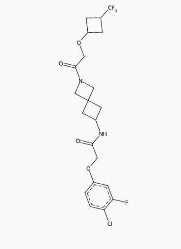 O=C(COc1ccc(Cl)c(F)c1)NC1CC2(C1)CN(C(=O)COC1CC(C(F)(F)F)C1)C2